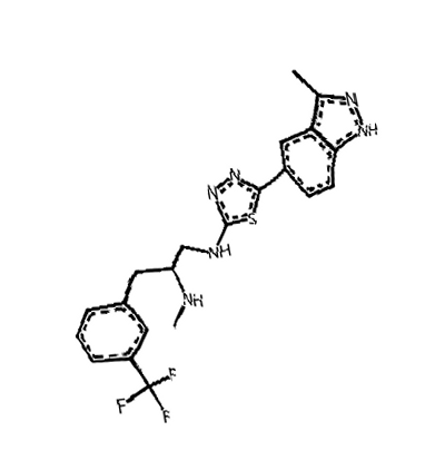 CNC(CNc1nnc(-c2ccc3[nH]nc(C)c3c2)s1)Cc1cccc(C(F)(F)F)c1